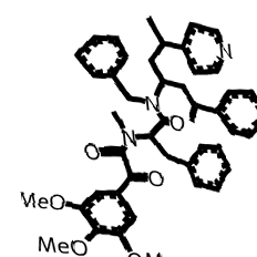 COc1cc(C(=O)C(=O)N(C)C(Cc2ccccc2)C(=O)N(Cc2ccccc2)C(CC(C)c2ccncc2)CC(C)c2ccncc2)cc(OC)c1OC